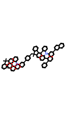 CC1(C)c2ccccc2-c2c(-c3ccccc3N(c3cccc(-c4ccc(CC5(C)c6ccccc6-c6c(-c7ccccc7N(c7cccc(-c8ccc9ccccc9c8)c7)c7ccccc7-c7ccccc7-c7ccccc7)cccc65)cc4)c3)c3ccccc3-c3ccccc3-c3ccccc3)cccc21